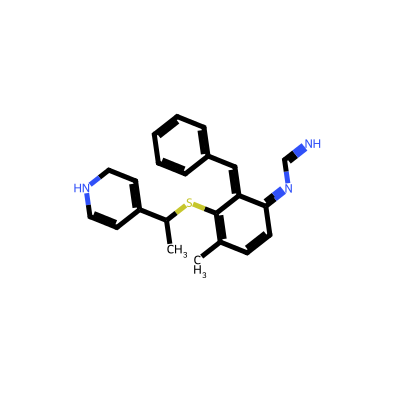 CC1=C(SC(C)C2=CCNC=C2)C(=C\c2ccccc2)/C(=N\C=N)C=C1